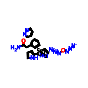 Cc1ccc[nH]1.NC(=O)Cc1ccccc1.[N-]=[N+]=NON=[N+]=[N-].c1c[se]nn1.c1ccnnc1